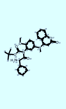 COc1ccc(N(C)c2cc(=O)oc3ccccc23)cc1N(C(=O)OC(C)(C)C)C(=O)[C@@H](N)c1ccccc1